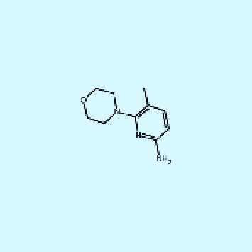 Cc1ccc(N)nc1N1CCOCC1